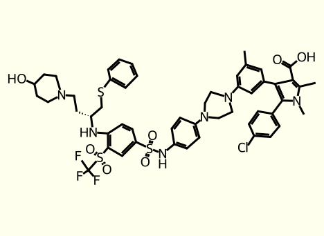 Cc1cc(-c2c(C(=O)O)c(C)n(C)c2-c2ccc(Cl)cc2)cc(N2CCN(c3ccc(NS(=O)(=O)c4ccc(N[C@H](CCN5CCC(O)CC5)CSc5ccccc5)c(S(=O)(=O)C(F)(F)F)c4)cc3)CC2)c1